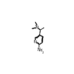 CC(c1ccc(N)nc1)N(C)C